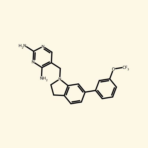 Nc1ncc(CN2CCc3ccc(-c4cccc(OC(F)(F)F)c4)cc32)c(N)n1